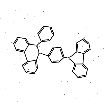 c1ccc(B2c3ccccc3-c3ccccc3N2c2ccc(-n3c4ccccc4c4ccccc43)cc2)cc1